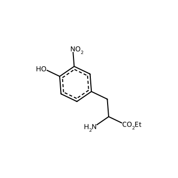 CCOC(=O)C(N)Cc1ccc(O)c([N+](=O)[O-])c1